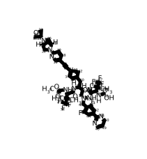 COC(=O)NC(C(=O)NC(Cc1ccc(C#Cc2ccc(N3C[C@H]4C[C@@H]3CN4C3COC3)nc2)cc1)C(O)CN(Cc1c(F)cc(-c2ncccn2)cc1F)NC(=O)C(NC(=O)O)C(C)(C)C(F)(F)F)C(C)(C)C(F)(F)F